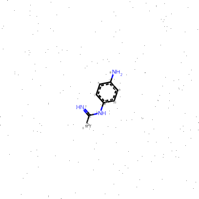 CC(C)C(=N)Nc1ccc(N)cc1